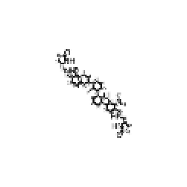 Cc1c(-c2ccn3c(=O)c(CNC[C@@H]4CCC(=O)N4)cnc3c2)cccc1-c1cccc(-c2ccc(CNC[C@H]3CCC(=O)N3)c(N(C)C)n2)c1Cl